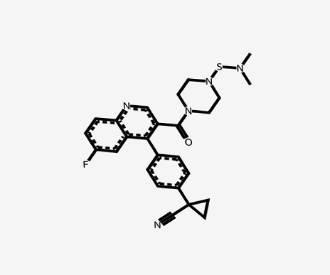 CN(C)SN1CCN(C(=O)c2cnc3ccc(F)cc3c2-c2ccc(C3(C#N)CC3)cc2)CC1